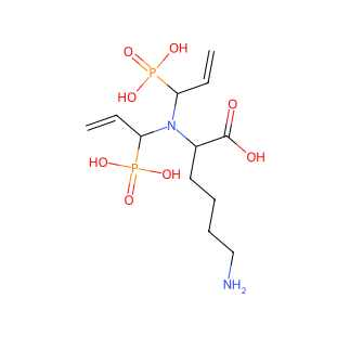 C=CC(N(C(CCCCN)C(=O)O)C(C=C)P(=O)(O)O)P(=O)(O)O